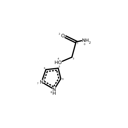 NC(=O)CO.c1cn[nH]c1